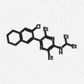 CCc1nc(-c2cc3c(cc2Cl)CCCC3)c(CC)nc1NC(CC)CC